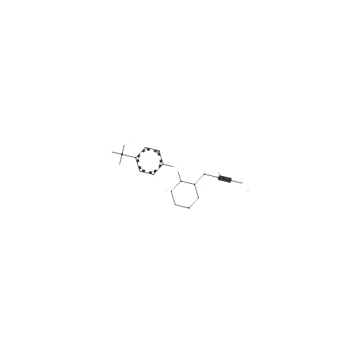 CC(C)(C)c1ccc(OC2CCCCC2CC#CS)cc1